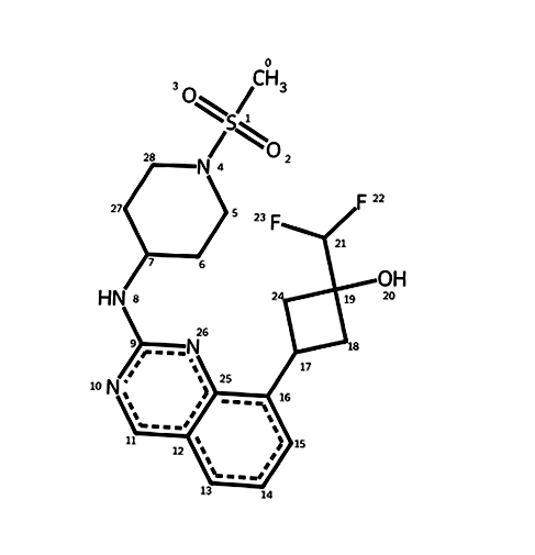 CS(=O)(=O)N1CCC(Nc2ncc3cccc(C4CC(O)(C(F)F)C4)c3n2)CC1